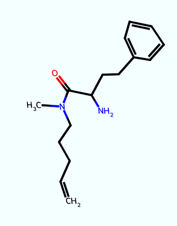 C=CCCCN(C)C(=O)C(N)CCc1ccccc1